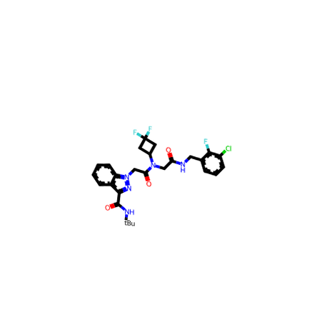 CC(C)(C)NC(=O)c1nn(CC(=O)N(CC(=O)NCc2cccc(Cl)c2F)C2CC(F)(F)C2)c2ccccc12